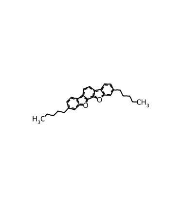 CCCCCc1ccc2c(c1)oc1c2ccc2c3ccc(CCCCC)cc3oc21